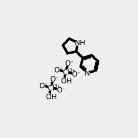 [O-][Cl+3]([O-])([O-])O.[O-][Cl+3]([O-])([O-])O.c1cncc(C2CCCN2)c1